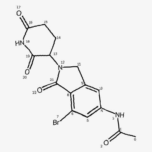 CC(=O)Nc1cc(Br)c2c(c1)CN(C1CCC(=O)NC1=O)C2=O